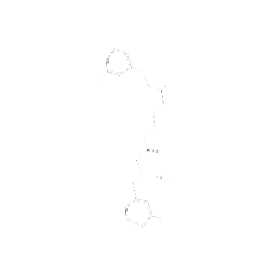 C[C@@H](CCCCC(=O)C[C@H](N)Cc1cccc(Cl)c1)COc1cccc(F)c1